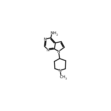 CN1CCC(n2ccc3c(N)ncnc32)CC1